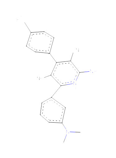 CN(C)c1cccc(-c2nc(N)c(C#N)c(-c3ccc(C(F)(F)F)cc3)c2C#N)c1